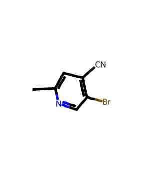 Cc1cc(C#N)c(Br)cn1